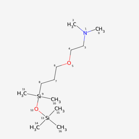 CN(C)CCOCCC[Si](C)(C)O[Si](C)(C)C